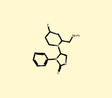 CC(=O)NCC1CC(F)CCN1C1COC(=O)N1c1ccccc1